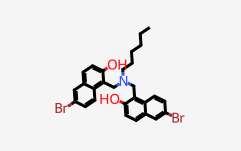 CCCCCCN(Cc1c(O)ccc2cc(Br)ccc12)Cc1c(O)ccc2cc(Br)ccc12